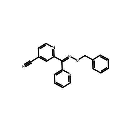 N#Cc1ccnc(C(=NOCc2ccccc2)c2ccccn2)c1